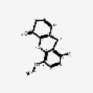 CCCOc1ccc(Cl)c2c1SC1=C(C=CCC1=O)C2